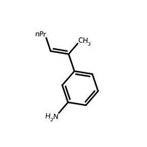 CCCC=C(C)c1cccc(N)c1